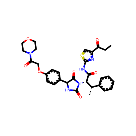 CCC(=O)c1csc(NC(=O)[C@H]([C@@H](C)c2ccccc2)N2C(=O)NC(c3ccc(OCC(=O)N4CCOCC4)cc3)C2=O)n1